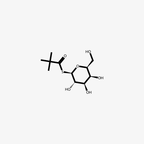 CC(C)(C)C(=O)S[C@H]1O[C@@H](CO)[C@@H](O)[C@@H](O)[C@@H]1O